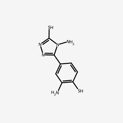 Nc1cc(-c2nnc(S)n2N)ccc1S